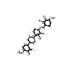 CCOc1ccc(COc2ccc(C3CC=C(c4ccc(OCC)c(F)c4F)CC3)c(F)c2F)c(F)c1F